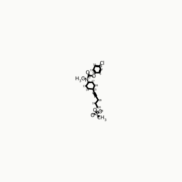 CN(C(=O)Oc1ccc(Cl)cc1)C1CCC(C#CCCCOS(C)(=O)=O)CC1